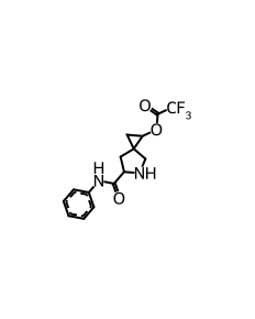 O=C(Nc1ccccc1)C1CC2(CN1)CC2OC(=O)C(F)(F)F